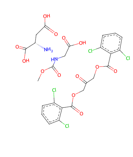 COC(=O)NCC(=O)O.N[C@@H](CC(=O)O)C(=O)O.O=C(COC(=O)c1c(Cl)cccc1Cl)COC(=O)c1c(Cl)cccc1Cl